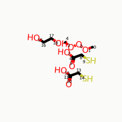 COOOC.O=C(O)CS.O=C(O)CS.OCCO